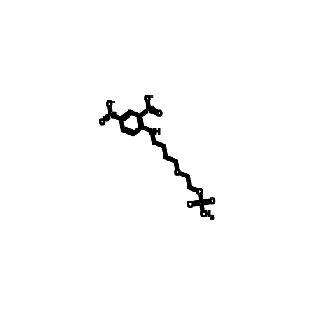 CS(=O)(=O)OCCOCCCCNc1ccc([N+](=O)[O-])cc1[N+](=O)[O-]